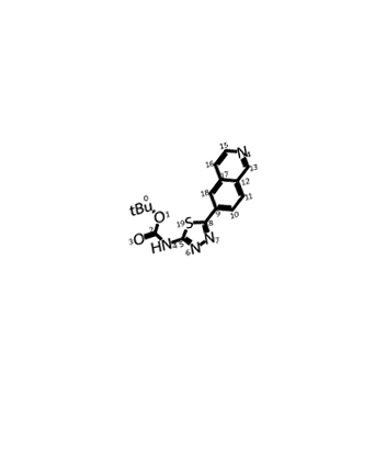 CC(C)(C)OC(=O)Nc1nnc(-c2ccc3cnccc3c2)s1